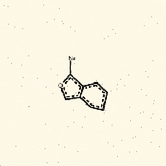 [Na][c]1occ2ccccc12